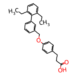 CCc1cccc(CC)c1-c1cccc(COc2ccc(CCC(=O)O)cc2)c1